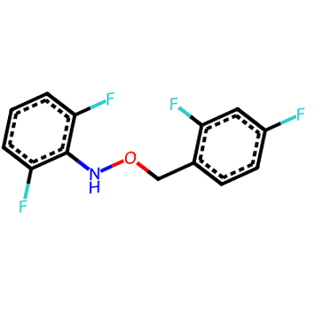 Fc1ccc(CONc2c(F)cccc2F)c(F)c1